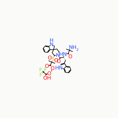 COC(=O)C(C)(C)S(=O)(=O)C1CC2(CCN1C(=O)[C@@H](Cc1c[nH]c3ccccc13)NC(=O)C(C)(C)N)CNc1ccccc12.O=C(O)C(F)(F)F